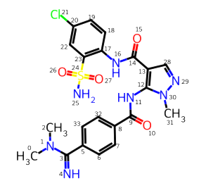 CN(C)C(=N)c1ccc(C(=O)Nc2c(C(=O)Nc3ccc(Cl)cc3S(N)(=O)=O)cnn2C)cc1